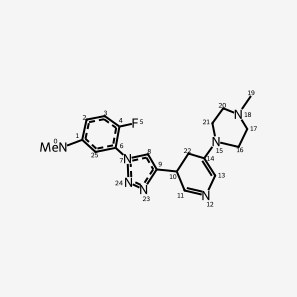 CNc1ccc(F)c(-n2cc(C3C=NC=C(N4CCN(C)CC4)C3)nn2)c1